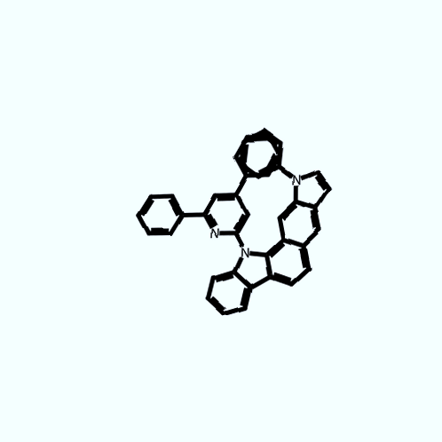 c1ccc(-c2cc(-c3ccccc3)nc(-n3c4ccccc4c4ccc5cc6ccn(-c7ccccc7)c6cc5c43)c2)cc1